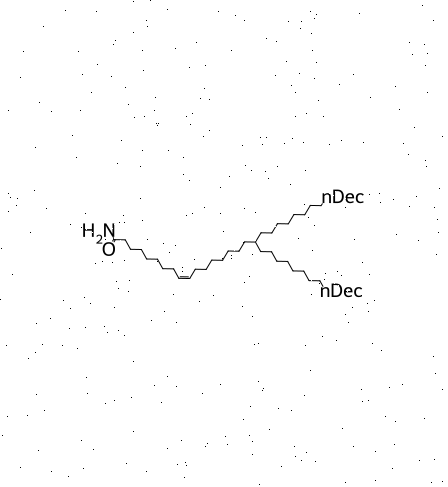 CCCCCCCCCCCCCCCCCCC(CCCCCCC/C=C\CCCCCCCC(N)=O)CCCCCCCCCCCCCCCCCC